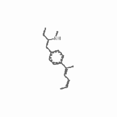 C/C=C\C=C(/C)c1ccc(CC(CC)NC)cc1